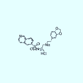 C[C@H](CNCCc1ccc2c(c1)OCO2)NS(=O)(=O)c1ccc2cnccc2c1.Cl